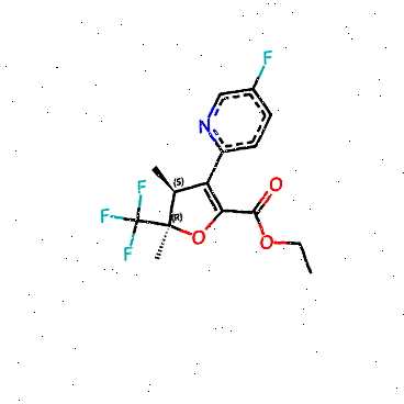 CCOC(=O)C1=C(c2ccc(F)cn2)[C@H](C)[C@](C)(C(F)(F)F)O1